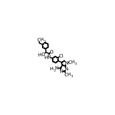 CCc1cccc(C(O)C(=O)Nc2ccc(-c3cn(C)c4nc(C)nc(N)c34)c(Cl)c2)c1